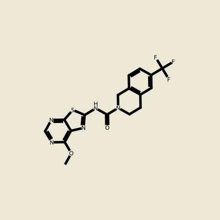 COc1ncnc2sc(NC(=O)N3CCc4cc(C(F)(F)F)ccc4C3)nc12